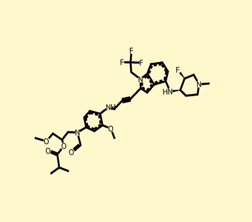 COCC(CN(C=O)c1ccc(NCC#Cc2cc3c(N[C@@H]4CCN(C)C[C@@H]4F)cccc3n2CC(F)(F)F)c(OC)c1)OC(=O)C(C)C